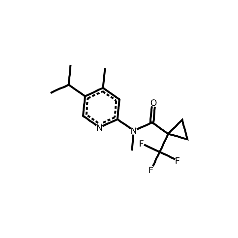 Cc1cc(N(C)C(=O)C2(C(F)(F)F)CC2)ncc1C(C)C